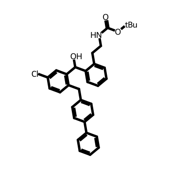 CC(C)(C)OC(=O)NCCc1ccccc1C(O)c1cc(Cl)ccc1Cc1ccc(-c2ccccc2)cc1